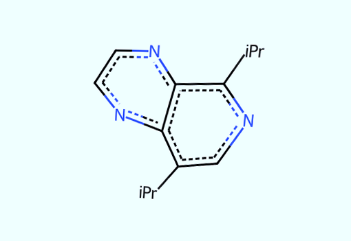 CC(C)c1cnc(C(C)C)c2nccnc12